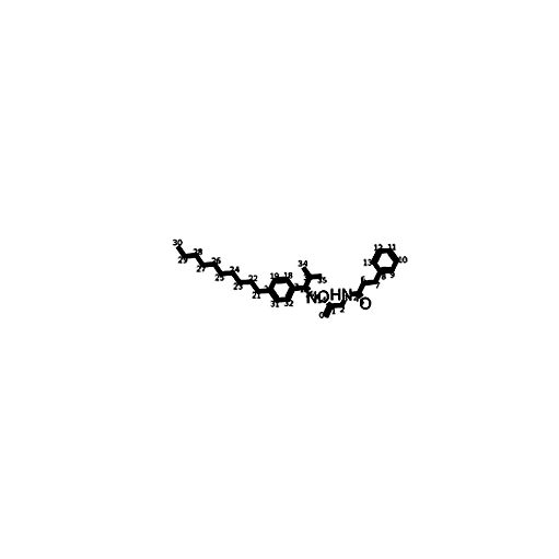 C=C(CNC(=O)CCc1ccccc1)O/N=C(/c1ccc(CCCCCCCCCC)cc1)C(C)C